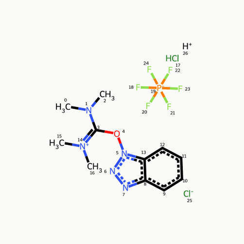 CN(C)C(On1nnc2ccccc21)=[N+](C)C.Cl.F[P-](F)(F)(F)(F)F.[Cl-].[H+]